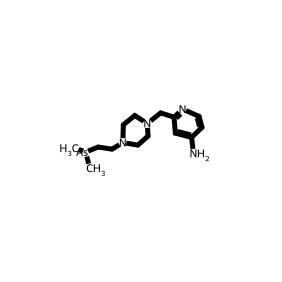 C[As](C)CCN1CCN(Cc2cc(N)ccn2)CC1